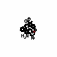 COC(=O)c1c2c(c3cc(OC)ccc3c1C)OC(c1ccccc1)(c1ccc(N)c(CCCN(C)C)c1CCCN(C)C)C=C2